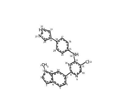 Cn1[c]cc2ccc(-c3ncc(Cl)c(Nc4ccc(-c5cn[nH]c5)cc4)n3)cc21